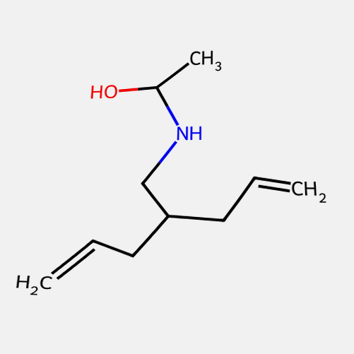 C=CCC(CC=C)CNC(C)O